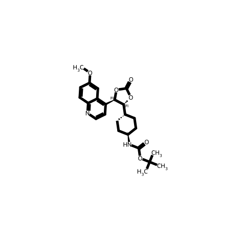 COc1ccc2nccc([C@H]3OC(=O)O[C@@H]3[C@H]3CC[C@H](NC(=O)OC(C)(C)C)CC3)c2c1